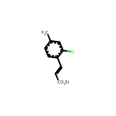 CCOC(=O)/C=C/c1ccc(C(F)(F)F)cc1Cl